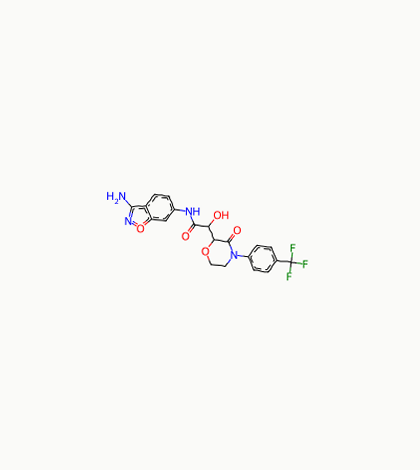 Nc1noc2cc(NC(=O)C(O)C3OCCN(c4ccc(C(F)(F)F)cc4)C3=O)ccc12